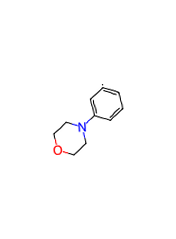 [c]1cccc(N2CCOCC2)c1